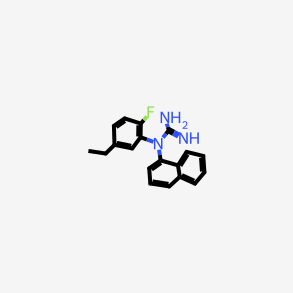 CCc1ccc(F)c(N(C(=N)N)c2cccc3ccccc23)c1